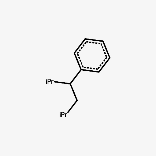 [CH2]C(C)C(CC(C)C)c1ccccc1